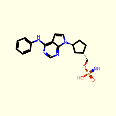 N=S(=O)(O)OC[C@H]1CC[C@H](n2ccc3c(Nc4ccccc4)ncnc32)C1